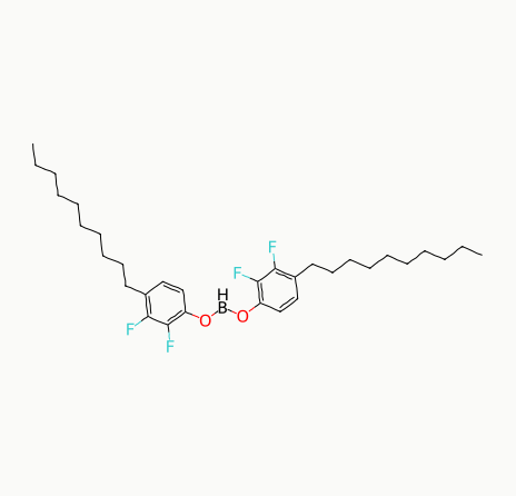 CCCCCCCCCCc1ccc(OBOc2ccc(CCCCCCCCCC)c(F)c2F)c(F)c1F